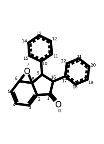 O=C1C2=CC=CC3OC23C(c2ccccc2)C1c1ccccc1